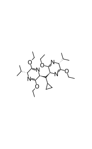 CCOC1=N[C@H](C(C)C)C(OCC)=N[C@H]1C(C1CC1)[C@@H]1N=C(OCC)[C@@H](C(C)C)N=C1OCC